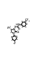 CC(C)[C@H]1CN(c2ncc(F)cn2)C(=O)N1CC(=O)Nc1cccc(C(F)(F)F)c1